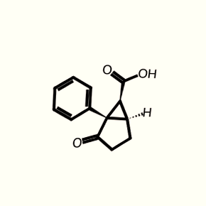 O=C(O)[C@H]1[C@H]2CCC(=O)[C@@]21c1ccccc1